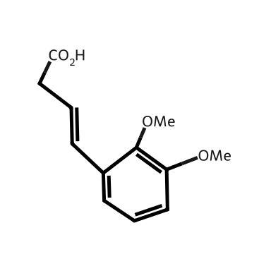 COc1cccc(C=CCC(=O)O)c1OC